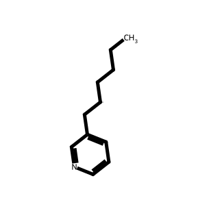 CCCC[CH]Cc1cccnc1